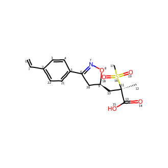 C=Cc1ccc(C2=NO[C@@H](C[C@](C)(C(=O)O)S(C)(=O)=O)C2)cc1